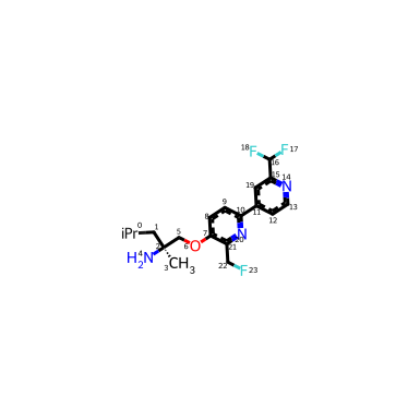 CC(C)C[C@](C)(N)COc1ccc(-c2ccnc(C(F)F)c2)nc1CF